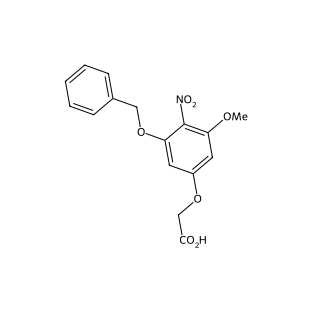 COc1cc(OCC(=O)O)cc(OCc2ccccc2)c1[N+](=O)[O-]